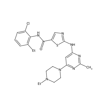 CCc1cccc(Cl)c1NC(=O)c1cnc(Nc2cc(N3CCN(CC)CC3)nc(C)n2)s1